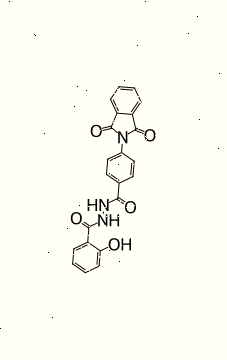 O=C(NNC(=O)c1ccccc1O)c1ccc(N2C(=O)c3ccccc3C2=O)cc1